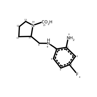 Nc1cc(F)ccc1NCC1CCCN1C(=O)O